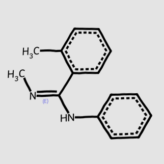 C/N=C(/Nc1ccccc1)c1ccccc1C